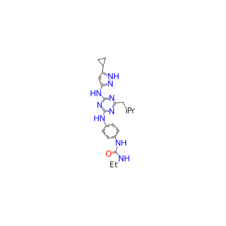 CCNC(=O)Nc1ccc(Nc2nc(CC(C)C)nc(Nc3cc(C4CC4)[nH]n3)n2)cc1